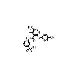 Cc1c(C(F)(F)F)nnc(Oc2ccc(C#N)nn2)c1C(=O)Nc1cccc(S(C)(=N)=O)c1